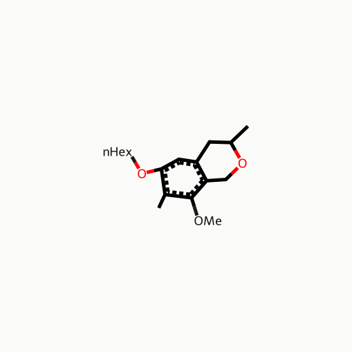 CCCCCCOc1cc2c(c(OC)c1C)COC(C)C2